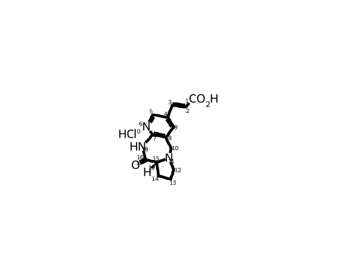 Cl.O=C(O)C=Cc1cnc2c(c1)CN1CCC[C@@H]1C(=O)N2